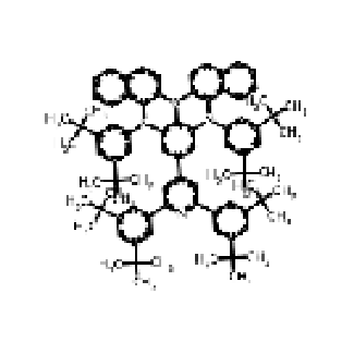 CC(C)(C)c1cc(-c2cc(-c3cc4c5c(c3)N(c3cc(C(C)(C)C)cc(C(C)(C)C)c3)c3c(ccc6ccccc36)B5c3ccc5ccccc5c3N4c3cc(C(C)(C)C)cc(C(C)(C)C)c3)cc(-c3cc(C(C)(C)C)cc(C(C)(C)C)c3)n2)cc(C(C)(C)C)c1